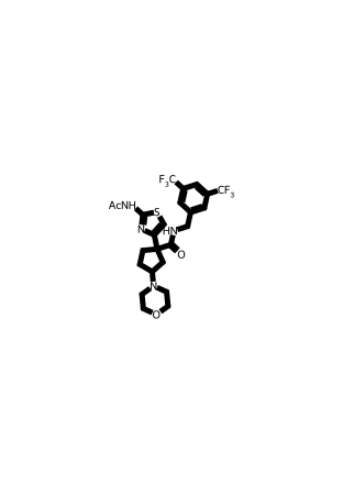 CC(=O)Nc1nc(C2(C(=O)NCc3cc(C(F)(F)F)cc(C(F)(F)F)c3)CCC(N3CCOCC3)C2)cs1